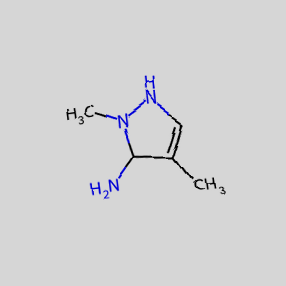 CC1=CNN(C)C1N